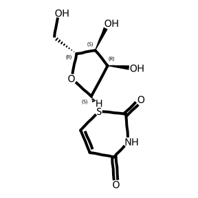 O=C1C=C[SH]([C@@H]2O[C@H](CO)[C@@H](O)[C@H]2O)C(=O)N1